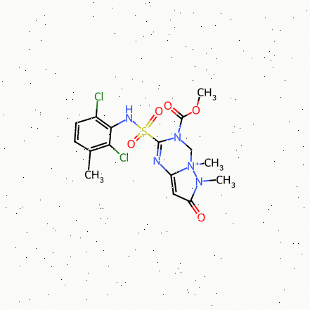 COC(=O)N1C[N+]2(C)C(=CC(=O)N2C)N=C1S(=O)(=O)Nc1c(Cl)ccc(C)c1Cl